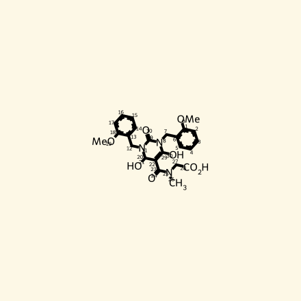 COc1ccccc1CN1C(=O)N(Cc2ccccc2OC)C(O)C(C(=O)N(C)CC(=O)O)=C1O